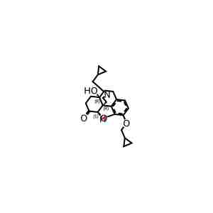 O=C1CC[C@]2(O)C3Cc4ccc(OCC5CC5)c5c4[C@]2(CCN3CC2CC2)[C@@H]1O5